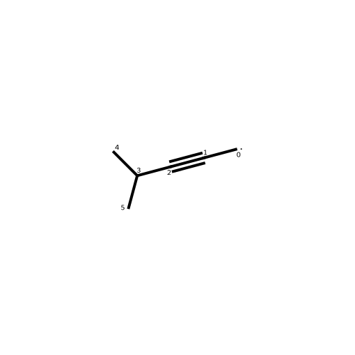 [CH2]C#CC(C)C